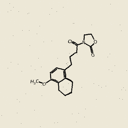 COc1ccc(CCCC(=O)N2CCOC2=O)c2c1CCCC2